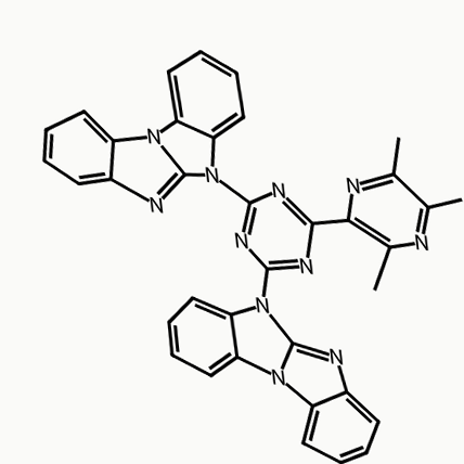 Cc1nc(C)c(-c2nc(-n3c4ccccc4n4c5ccccc5nc34)nc(-n3c4ccccc4n4c5ccccc5nc34)n2)nc1C